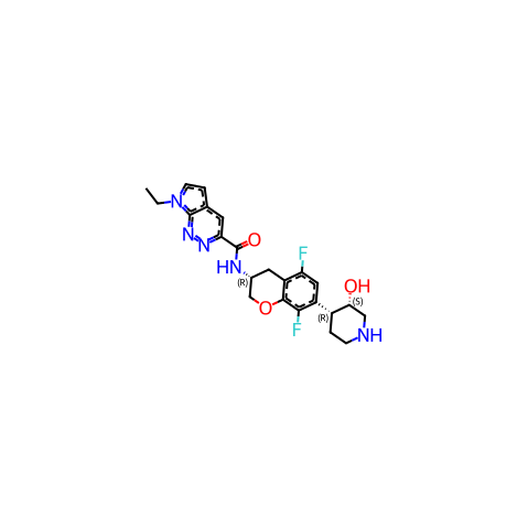 CCn1ccc2cc(C(=O)N[C@H]3COc4c(F)c([C@H]5CCNC[C@H]5O)cc(F)c4C3)nnc21